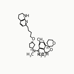 Cc1cc([C@@H](C(=O)O)N(C)[C@H]2CC[C@H](OCCCCc3ccc4c(n3)NCCC4)C2)c2c(c1)[C@@]1(CCCOC1)OC[C@H]2C